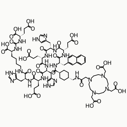 O=C(O)CC[C@H](NC(=O)N[C@@H](CCCCNC(=O)[C@H](Cc1c[nH]cn1)NC(=O)[C@H](CCC(=O)O)NC(=O)[C@H](Cc1c[nH]cn1)NC(=O)[C@H](CCC(=O)O)NC(=O)[C@H](Cc1c[nH]cn1)NC(=O)[C@H](CCC(=O)O)NC(=O)[C@H](Cc1ccc2ccccc2c1)NC(=O)[C@H]1CC[C@H](CNC(=O)CN2CCN(CC(=O)O)CCN(CC(=O)O)CCN(CC(=O)O)CC2)CC1)C(=O)O)C(=O)O